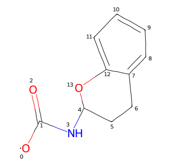 [O]C(=O)NC1CCc2ccccc2O1